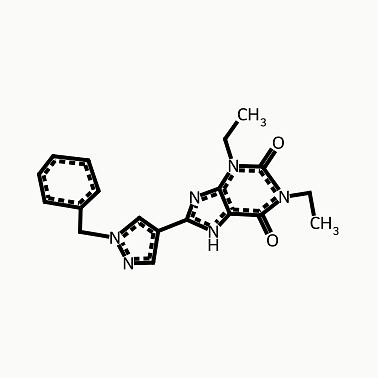 CCn1c(=O)c2[nH]c(-c3cnn(Cc4ccccc4)c3)nc2n(CC)c1=O